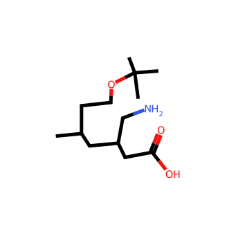 CC(CCOC(C)(C)C)CC(CN)CC(=O)O